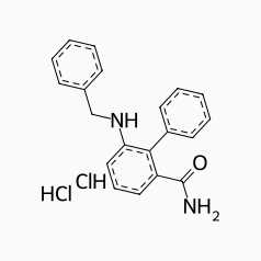 Cl.Cl.NC(=O)c1cccc(NCc2ccccc2)c1-c1ccccc1